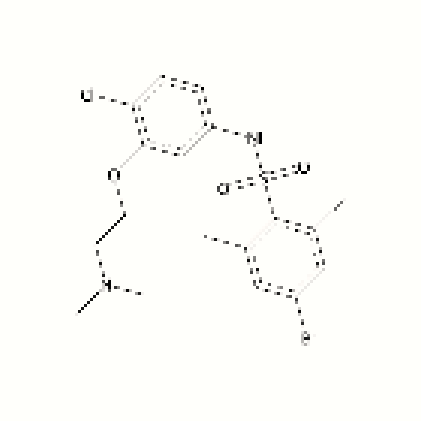 Cc1cc(Br)cc(C)c1S(=O)(=O)Nc1ccc(Cl)c(OCCN(C)C)c1